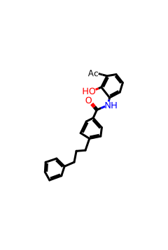 CC(=O)c1cccc(NC(=O)c2ccc(CCCc3ccccc3)cc2)c1O